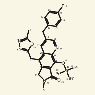 Cc1nnc(Cc2c3c(c(O[Si](C(C)C)(C(C)C)C(C)C)c4ncc(Cc5ccc(F)cc5)cc24)C(=O)N(C)C3)o1